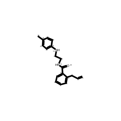 C=CCc1ccccc1C(=O)NCCNc1ccc(C)cc1